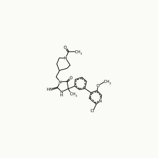 COc1cnc(Cl)cc1-c1cccc(C2(C)NC(=N)N(CC3CCN(C(C)=O)CC3)C2=O)c1